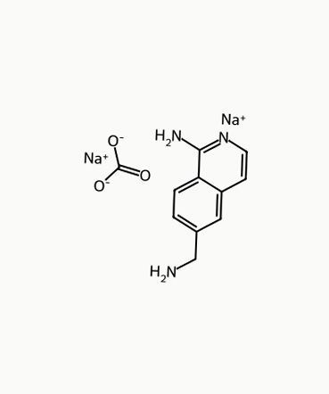 NCc1ccc2c(N)nccc2c1.O=C([O-])[O-].[Na+].[Na+]